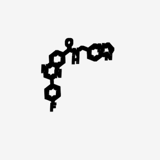 O=C(NCc1ccc2nccn2c1)c1ccc2ncc(-c3ccc(F)cc3)nc2c1